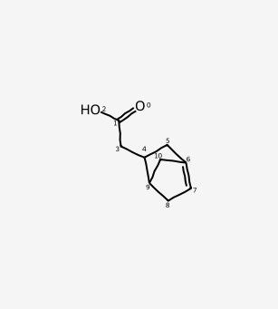 O=C(O)CC1CC2=CCC1C2